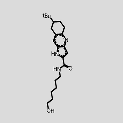 CC(C)(C)C1CCc2nc3cc(C(=O)NCCCCCCO)[nH]c3cc2C1